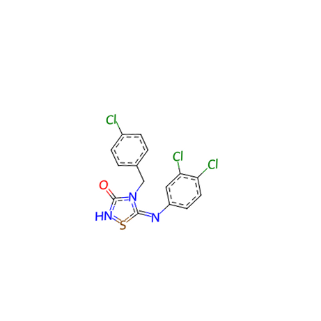 O=c1[nH]s/c(=N/c2ccc(Cl)c(Cl)c2)n1Cc1ccc(Cl)cc1